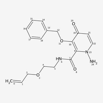 C=CCOCCNC(=O)c1c(OCc2ccccc2)c(=O)ccn1N